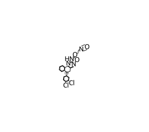 O=C(Nc1ncc2c(n1)-c1ccccc1[C@H](c1ccc(Cl)c(Cl)c1)C2)OCCN1CCOCC1